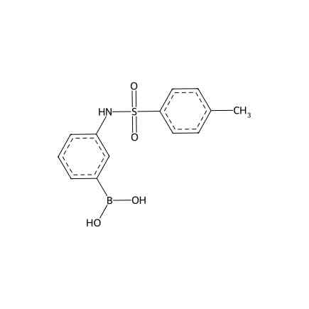 Cc1ccc(S(=O)(=O)Nc2cccc(B(O)O)c2)cc1